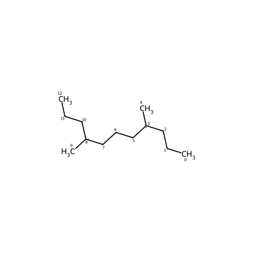 CCC[C](C)CCC[C](C)CCC